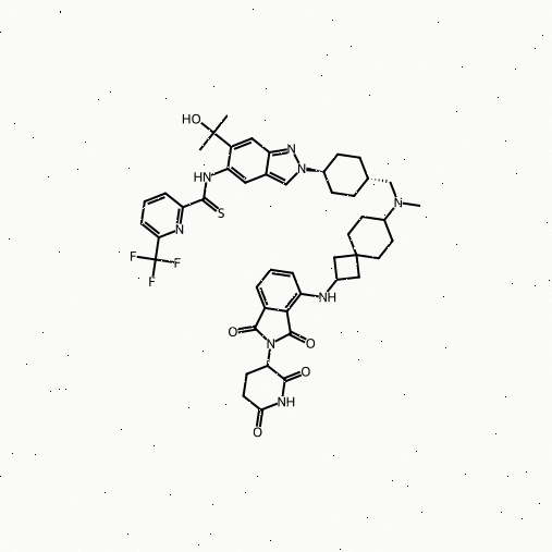 CN(C[C@H]1CC[C@H](n2cc3cc(NC(=S)c4cccc(C(F)(F)F)n4)c(C(C)(C)O)cc3n2)CC1)C1CCC2(CC1)CC(Nc1cccc3c1C(=O)N(C1CCC(=O)NC1=O)C3=O)C2